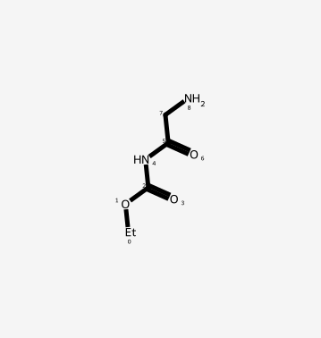 CCOC(=O)NC(=O)CN